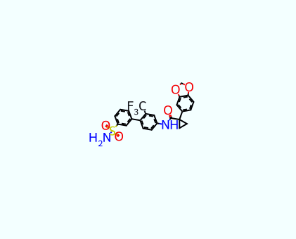 NS(=O)(=O)c1cccc(-c2ccc(NC(=O)C3(c4ccc5c(c4)OCO5)CC3)cc2C(F)(F)F)c1